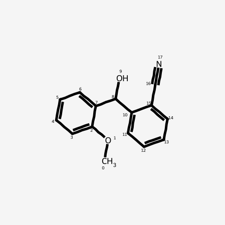 COc1ccccc1C(O)c1ccccc1C#N